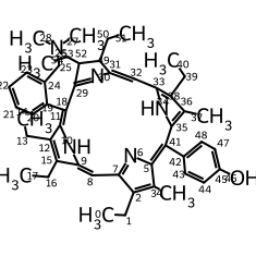 CCC1=C(C)c2nc1cc1[nH]c(c(CC)c1CC)c(-c1ccccc1CN(C)C)c1nc(cc3[nH]c(c(C)c3CC)c2-c2ccc(O)cc2)C(CC)C1CC